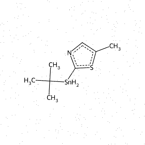 Cc1cn[c]([SnH2][C](C)(C)C)s1